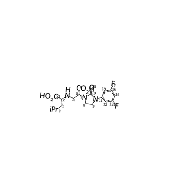 CC(C)CC(NCC(C(=O)O)N1CCN(c2cc(F)cc(F)c2)C1=O)C(=O)O